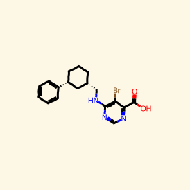 O=C(O)c1ncnc(NC[C@H]2CCC[C@@H](c3ccccc3)C2)c1Br